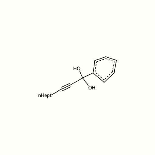 CCCCCCCC#CC(O)(O)c1ccccc1